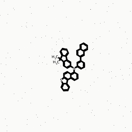 CC1(C)c2ccccc2-c2cc(N(c3cccc(-c4ccc5ccccc5c4)c3)c3cccc4c3ccc3sc5ccccc5c34)ccc21